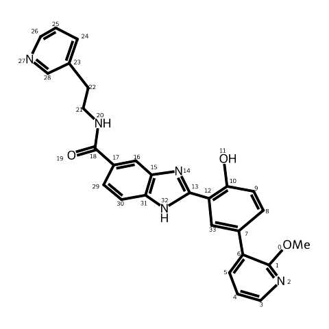 COc1ncccc1-c1ccc(O)c(-c2nc3cc(C(=O)NCCc4cccnc4)ccc3[nH]2)c1